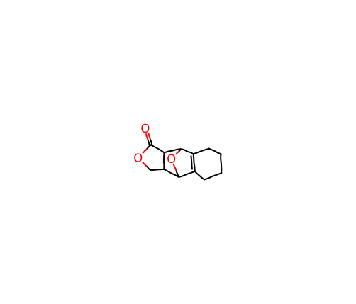 O=C1OCC2C3OC(C4=C3CCCC4)C12